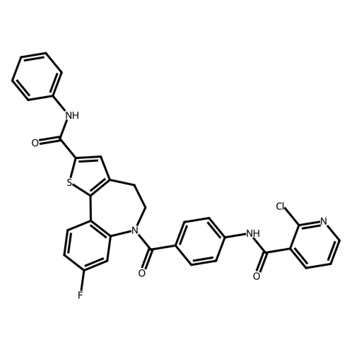 O=C(Nc1ccccc1)c1cc2c(s1)-c1ccc(F)cc1N(C(=O)c1ccc(NC(=O)c3cccnc3Cl)cc1)CC2